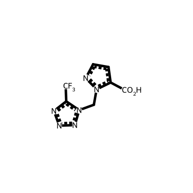 O=C(O)c1ccnn1Cn1nnnc1C(F)(F)F